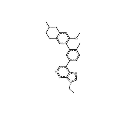 CCn1cnc2c(-c3ccc(F)c(-c4cc5c(cc4OC)CN(C)CC5)c3)cnnc21